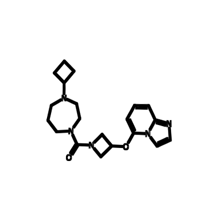 O=C(N1CCCN(C2CCC2)CC1)N1CC(Oc2cccc3nccn23)C1